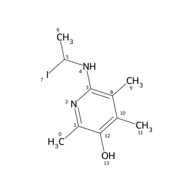 Cc1nc(NC(C)I)c(C)c(C)c1O